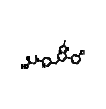 Cc1cn2cc(Cc3ccc(N(C)CC(=O)O)nc3)cc(-c3cccc(Cl)c3)c2n1